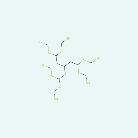 SCSC(CC(CC(SCS)SCS)CC(SCS)SCS)SCS